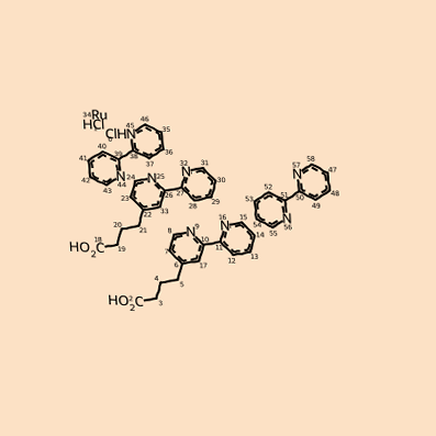 Cl.Cl.O=C(O)CCCc1ccnc(-c2ccccn2)c1.O=C(O)CCCc1ccnc(-c2ccccn2)c1.[Ru].c1ccc(-c2ccccn2)nc1.c1ccc(-c2ccccn2)nc1